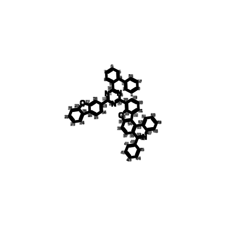 c1ccc(-c2ccccc2-c2nc(-c3ccc4c(c3)oc3ccccc34)nc(-c3cccc4c3oc3ccc5c(-c6ccccc6)nc6ccccc6c5c34)n2)cc1